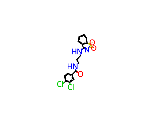 O=C(NCCCNC1=NS(=O)(=O)c2ccccc21)c1ccc(Cl)c(Cl)c1